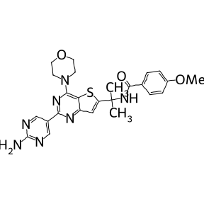 COc1ccc(C(=O)NC(C)(C)c2cc3nc(-c4cnc(N)nc4)nc(N4CCOCC4)c3s2)cc1